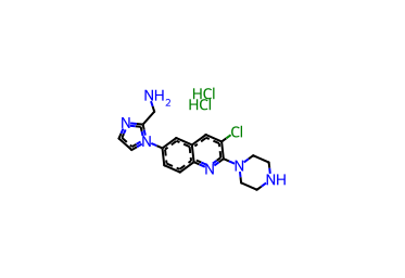 Cl.Cl.NCc1nccn1-c1ccc2nc(N3CCNCC3)c(Cl)cc2c1